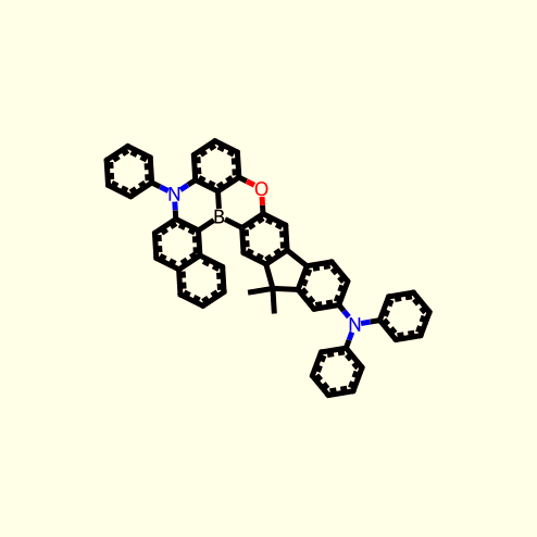 CC1(C)c2cc(N(c3ccccc3)c3ccccc3)ccc2-c2cc3c(cc21)B1c2c(cccc2N(c2ccccc2)c2ccc4ccccc4c21)O3